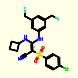 N#C/C(=C(/Nc1cc(CF)cc(CF)c1)NC1CCC1)S(=O)(=O)c1ccc(Cl)cc1